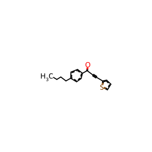 CCCCc1ccc(C(=O)C#Cc2cccs2)cc1